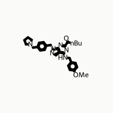 CCCCC(=O)c1nc(NCc2ccc(OC)cc2)c2cnn(Cc3ccc(CN4CCCC4)cc3)c2n1